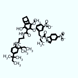 CCN(Cc1cc([N+](=O)[O-])ccc1Oc1c(OC)c2c(c(O)c1C(=O)NCCCOc1ccc(C(C)(C)CC)cc1C(C)(C)CC)C1CCC2C1)C(=O)n1ncc2cc([N+](=O)[O-])ccc21